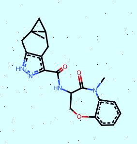 CN1C(=O)C(NC(=O)c2n[nH]c3c2CC2CC2(C)C3)COc2ccccc21